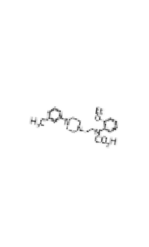 CCOc1ccccc1N(CCN1CCN(c2cccc(C)c2)CC1)C(=O)O